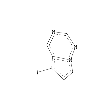 Ic1ccn2ncncc12